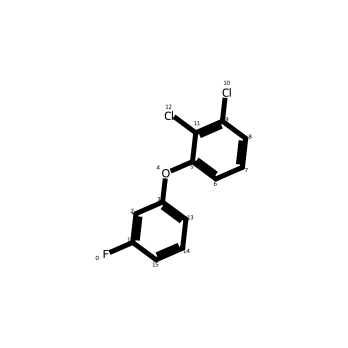 Fc1[c]c(Oc2cccc(Cl)c2Cl)ccc1